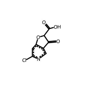 O=C(O)C1Oc2cc(Cl)ncc2C1=O